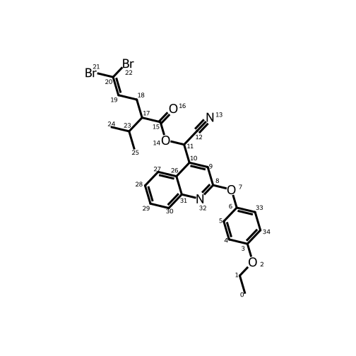 CCOc1ccc(Oc2cc(C(C#N)OC(=O)C(CC=C(Br)Br)C(C)C)c3ccccc3n2)cc1